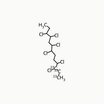 CCC(Cl)C(Cl)CC(Cl)C(Cl)CCC(Cl)[13CH](Cl)[13CH2][13CH3]